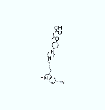 N#Cc1ccc2[nH]cc(CCCCN3CCN(c4ccc5oc(CC(=O)O)cc5c4)CC3)c2c1